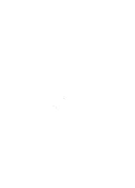 CN1C2CCCC1CN(c1ccc(Cl)c(Cl)c1)C2